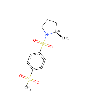 CS(=O)(=O)c1ccc(S(=O)(=O)N2CCC[C@H]2[C]=O)cc1